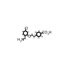 NCc1ccc(Cl)cc1OCCc1ccc(C(=O)O)cc1